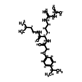 CC(C)C[CH]NC(=O)[C@H](CCCNC(=N)N[N+](=O)[O-])NC(=O)COc1ccc(C(C)C)cc1